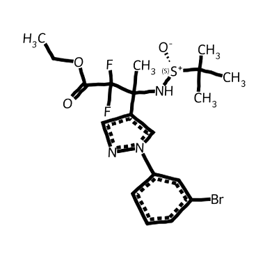 CCOC(=O)C(F)(F)C(C)(N[S@+]([O-])C(C)(C)C)c1cnn(-c2cccc(Br)c2)c1